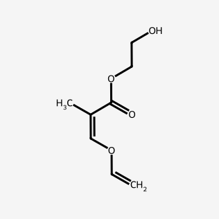 C=COC=C(C)C(=O)OCCO